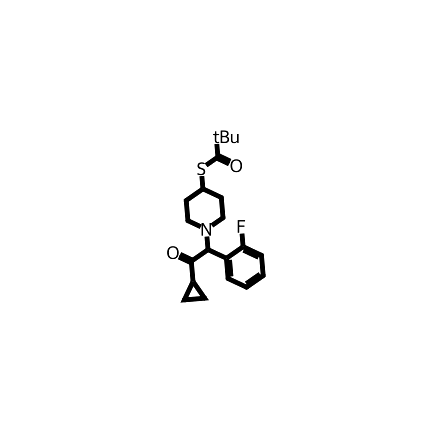 CC(C)(C)C(=O)SC1CCN(C(C(=O)C2CC2)c2ccccc2F)CC1